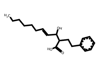 CCCCCCC=CC(O)C(CCc1ccccc1)C(=O)O